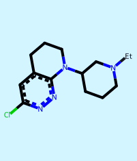 CCN1CCCC(N2CCCc3cc(Cl)nnc32)C1